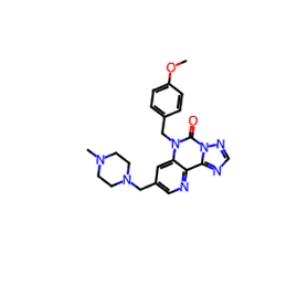 COc1ccc(Cn2c(=O)n3ncnc3c3ncc(CN4CCN(C)CC4)cc32)cc1